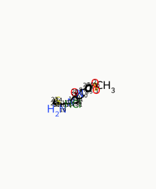 CS(=O)(=O)c1ccc(CN2CCC3(CCN(CCC(N)c4cccs4)CC3)C2=O)cc1.Cl